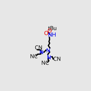 CC(C)(C)OC(=O)NCCCCCCN(CCN(CCC#N)CCC#N)CCN(CCC#N)CCC#N